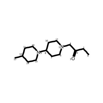 CCC(=O)CN1CCC(N2CCC(C)CC2)CC1